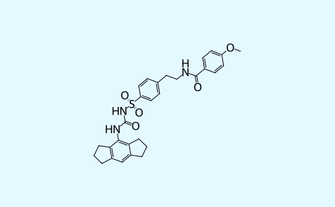 COc1ccc(C(=O)NCCc2ccc(S(=O)(=O)NC(=O)Nc3c4c(cc5c3CCC5)CCC4)cc2)cc1